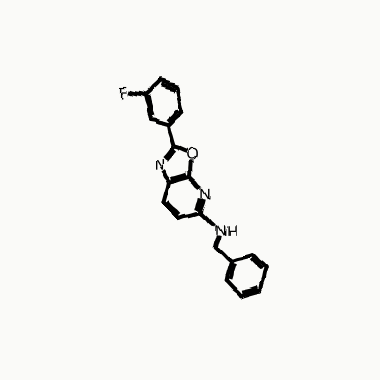 Fc1cccc(-c2nc3ccc(NCc4ccccc4)nc3o2)c1